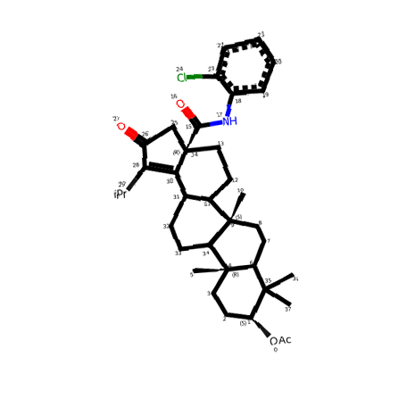 CC(=O)O[C@H]1CC[C@@]2(C)C(CC[C@@]3(C)C4CC[C@@]5(C(=O)Nc6ccccc6Cl)CC(=O)C(C(C)C)=C5C4CCC32)C1(C)C